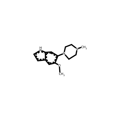 COc1cc2cc[nH]c2cc1N1CCN(C)CC1